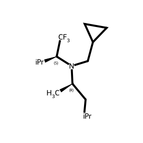 CC(C)C[C@@H](C)N(CC1CC1)[C@@H](C(C)C)C(F)(F)F